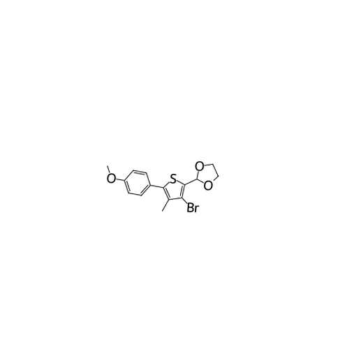 COc1ccc(-c2sc(C3OCCO3)c(Br)c2C)cc1